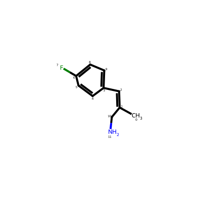 CC(=Cc1ccc(F)cc1)CN